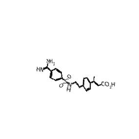 C/C(=C\C(=O)O)c1ccc(CCNS(=O)(=O)c2ccc(C(=N)N)cc2)cc1